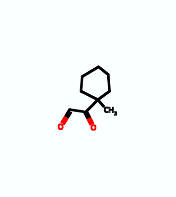 CC1(C(=O)C=O)CCCCC1